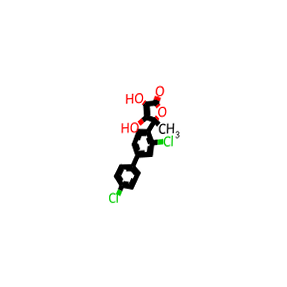 CC1(c2ccc(-c3ccc(Cl)cc3)cc2Cl)OC(=O)C(O)=C1O